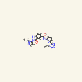 CC(C)n1cnnc1-c1cccc(NC(=O)c2cccc(C(=O)Nc3ccnn3C)c2)n1